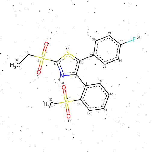 CCS(=O)(=O)c1nc(-c2ccccc2S(C)(=O)=O)c(-c2ccc(F)cc2)s1